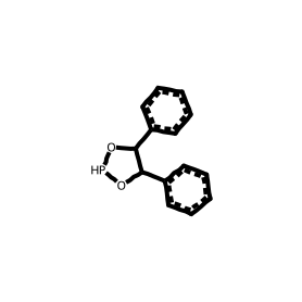 c1ccc(C2OPOC2c2ccccc2)cc1